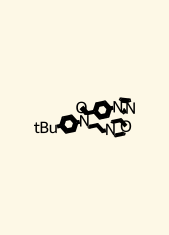 CC(C)(C)c1ccc(N(CCCN2CCOCC2)C(=O)c2ccc(-n3ccnc3)cc2)cc1